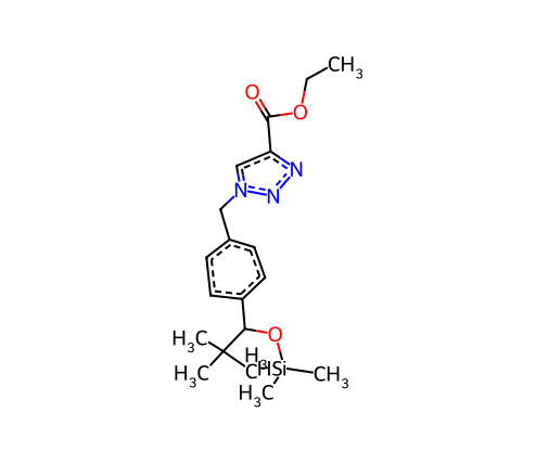 CCOC(=O)c1cn(Cc2ccc(C(O[SiH](C)C)C(C)(C)C)cc2)nn1